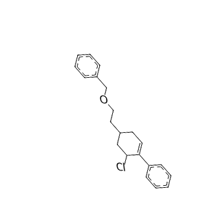 ClC1CC(CCOCc2ccccc2)CC=C1c1ccccc1